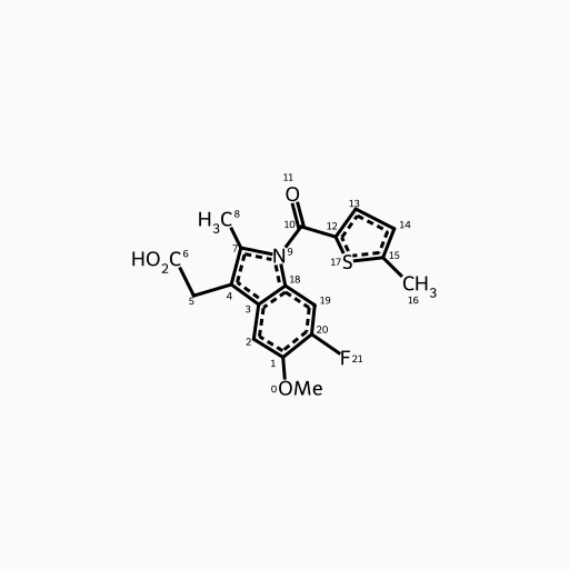 COc1cc2c(CC(=O)O)c(C)n(C(=O)c3ccc(C)s3)c2cc1F